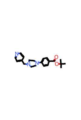 CC(C)(C)OC(=O)c1ccc(N2CCN(Cc3ccncc3)CC2)cc1